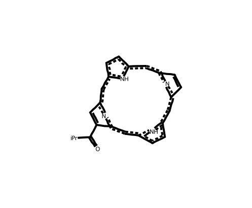 CC(C)C(=O)C1=Cc2cc3ccc(cc4nc(cc5ccc(cc1n2)[nH]5)C=C4)[nH]3